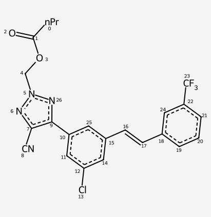 CCCC(=O)OCn1nc(C#N)c(-c2cc(Cl)cc(C=Cc3cccc(C(F)(F)F)c3)c2)n1